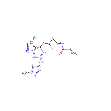 C=CC(=O)N[C@H]1C[C@@H](Oc2nc(Nc3cnn(C)c3)nc3[nH]cc(C#N)c23)C1